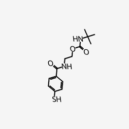 CC(C)(C)NC(=O)OCCNC(=O)c1ccc(S)cc1